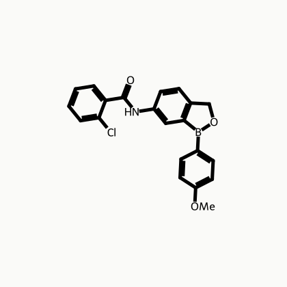 COc1ccc(B2OCc3ccc(NC(=O)c4ccccc4Cl)cc32)cc1